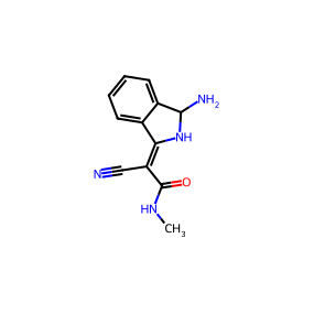 CNC(=O)/C(C#N)=C1\NC(N)c2ccccc21